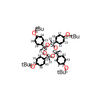 CC(C)(C)Oc1ccc([Si]2(C)O[Si](C)(c3ccc(OC(C)(C)C)cc3)O[Si](C)(c3ccc(OC(C)(C)C)cc3)O[Si](C)(c3ccc(OC(C)(C)C)cc3)O2)cc1